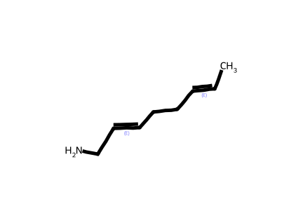 C/C=C/CC/C=C/CN